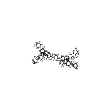 CC1(C)c2ccccc2-c2ccc(N(c3ccc(-c4ccc(-c5ccc(-n6c7ccc(C8CCCCC8)cc7c7cc(C8CCCCC8)ccc76)cc5)cc4)cc3)c3cc(-c4ccccc4)ccc3-c3ccccc3)cc21